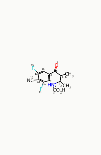 CC(NC(=O)O)C(C)C(=O)c1cc(F)c(C#N)c(F)c1